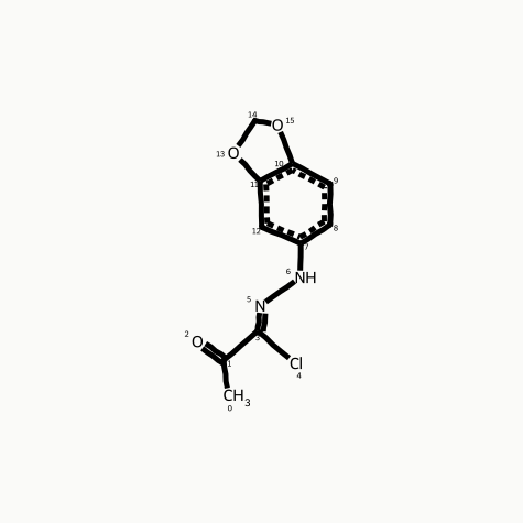 CC(=O)C(Cl)=NNc1ccc2c(c1)OCO2